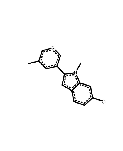 Cc1cncc(-c2cc3ccc(Cl)cc3n2C)c1